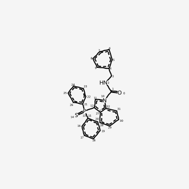 O=C(NCc1ccccc1)n1cc(P(=S)(c2ccccc2)c2ccccc2)c2ccccc21